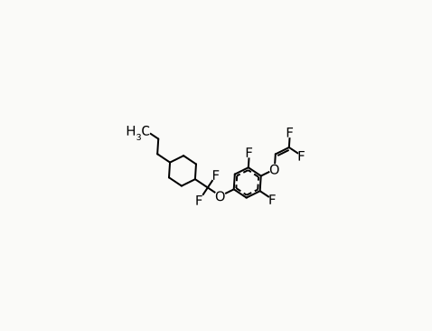 CCCC1CCC(C(F)(F)Oc2cc(F)c(OC=C(F)F)c(F)c2)CC1